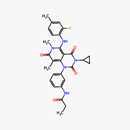 CCC(=O)Nc1cccc(-n2c(=O)n(C3CC3)c(=O)c3c(Nc4ccc(C)cc4F)n(C)c(=O)c(C)c32)c1